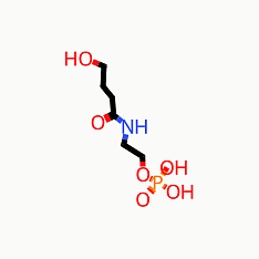 O=C(CCCO)NCCOP(=O)(O)O